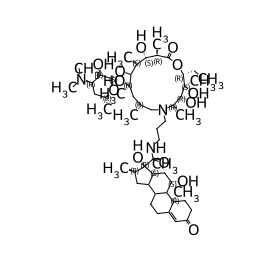 CC[C@H]1OC(=O)[C@H](C)[C@@H](O)[C@H](C)C(O[C@@H]2O[C@H](C)C[C@@H](N(C)C)[C@H]2O)[C@](C)(O)C[C@@H](C)CN(CCCNC(=O)[C@@]2(O)[C@H](C)CC3C4CCC5=CC(=O)CC[C@]5(C)C4[C@@H](O)C[C@@]32C)[C@H](C)[C@@H](O)[C@]1(C)O